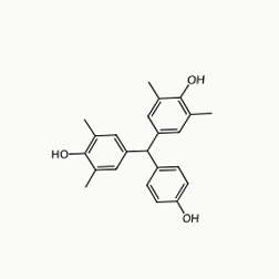 Cc1cc(C(c2ccc(O)cc2)c2cc(C)c(O)c(C)c2)cc(C)c1O